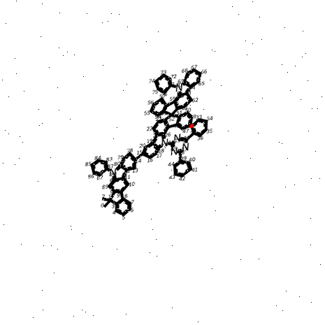 CC1(C)c2ccccc2-c2cc3c4cc(-c5ccc6c(c5)c5ccc7c(c5n6-c5nc(-c6ccccc6)nc(-c6ccccc6)n5)-c5ccccc5C75c6ccccc6-c6c5ccc5c7ccccc7n(-c7ccccc7)c65)ccc4n(-c4ccccc4)c3cc21